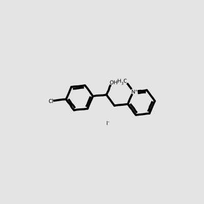 C[n+]1ccccc1CC(O)c1ccc(Cl)cc1.[I-]